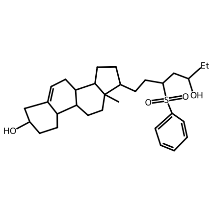 CCC(O)CC(CCC1CCC2C3CC=C4CC(O)CCC4C3CCC12C)S(=O)(=O)c1ccccc1